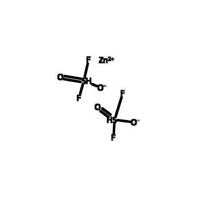 O=[SH]([O-])(F)F.O=[SH]([O-])(F)F.[Zn+2]